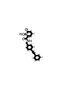 O=C(NCc1ccc(C#Cc2ccccc2)cc1)c1cccc(=O)n1O